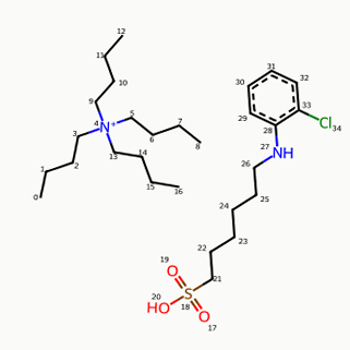 CCCC[N+](CCCC)(CCCC)CCCC.O=S(=O)(O)CCCCCCNc1ccccc1Cl